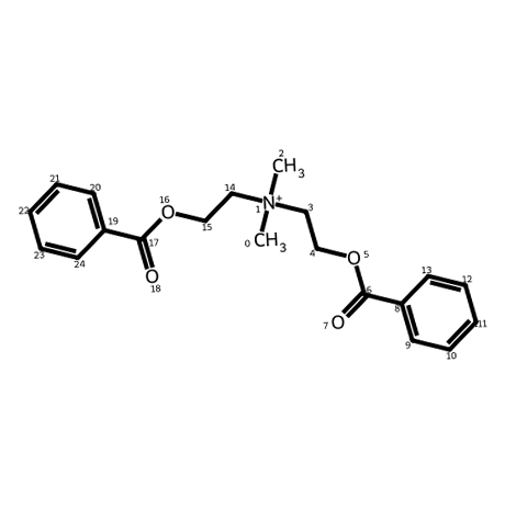 C[N+](C)(CCOC(=O)c1cc[c]cc1)CCOC(=O)c1ccccc1